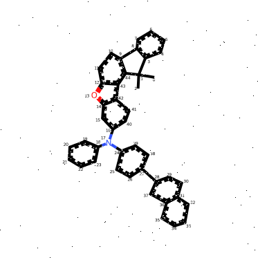 CC1(C)c2ccccc2-c2ccc3oc4cc(N(c5ccccc5)c5ccc(-c6ccc7ccccc7c6)cc5)ccc4c3c21